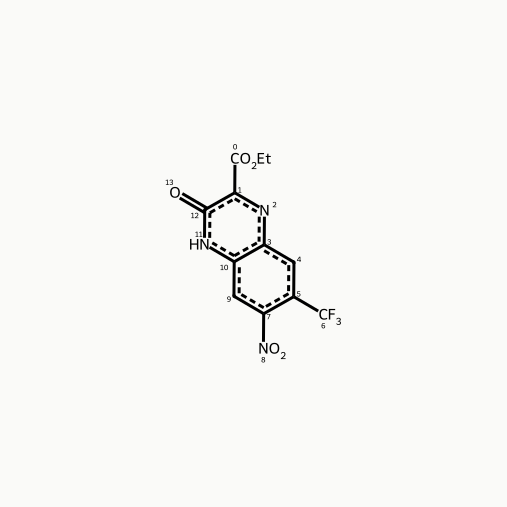 CCOC(=O)c1nc2cc(C(F)(F)F)c([N+](=O)[O-])cc2[nH]c1=O